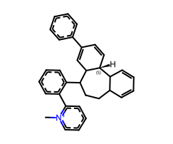 C[n+]1ccccc1-c1ccccc1C1CCC2C=CC=CC2[C@H]2C=CC(c3ccccc3)=CC12